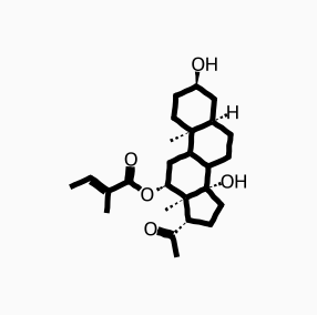 C/C=C(\C)C(=O)O[C@@H]1CC2C(CC[C@@H]3C[C@H](O)CC[C@]23C)[C@@]2(O)CC[C@H](C(C)=O)[C@@]12C